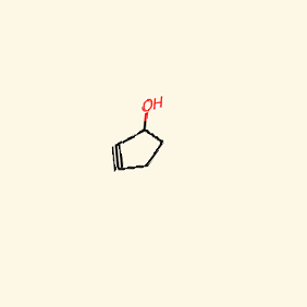 OC1C#CCC1